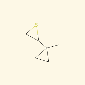 CC1(C2CS2)CC1